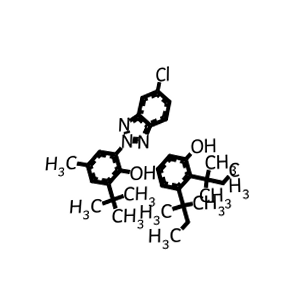 CCC(C)(C)c1cccc(O)c1C(C)(C)CC.Cc1cc(-n2nc3ccc(Cl)cc3n2)c(O)c(C(C)(C)C)c1